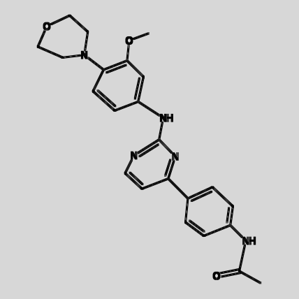 COc1cc(Nc2nccc(-c3ccc(NC(C)=O)cc3)n2)ccc1N1CCOCC1